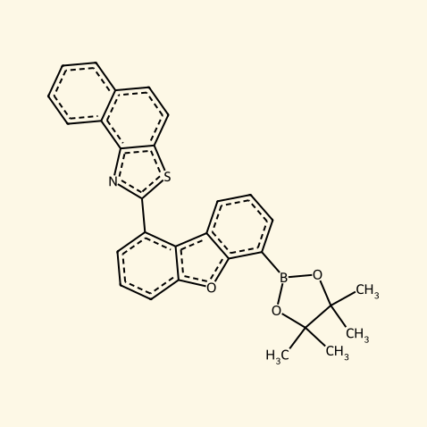 CC1(C)OB(c2cccc3c2oc2cccc(-c4nc5c(ccc6ccccc65)s4)c23)OC1(C)C